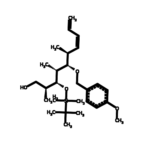 C=C/C=C\[C@H](C)[C@H](OCc1ccc(OC)cc1)[C@@H](C)[C@H](O[Si](C)(C)C(C)(C)C)[C@@H](C)CO